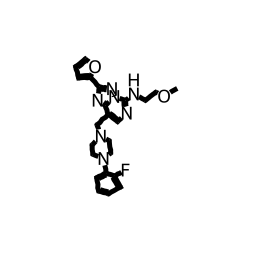 COCCNc1ncc(CN2CCN(c3ccccc3F)CC2)c2nc(-c3ccco3)nn12